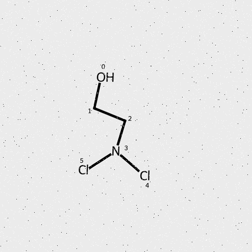 OCCN(Cl)Cl